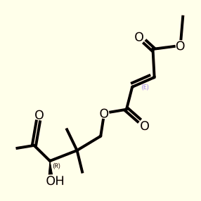 COC(=O)/C=C/C(=O)OCC(C)(C)[C@@H](O)C(C)=O